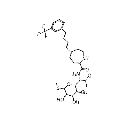 CSC1O[C@H]([C@H](NC(=O)C2CC[C@H](CCCCc3cccc(C(F)(F)F)c3)CCN2)[C@H](C)Cl)[C@@H](O)C(O)[C@H]1O